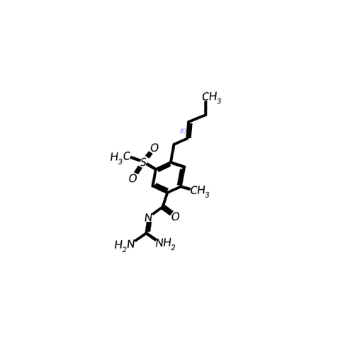 CC/C=C/Cc1cc(C)c(C(=O)N=C(N)N)cc1S(C)(=O)=O